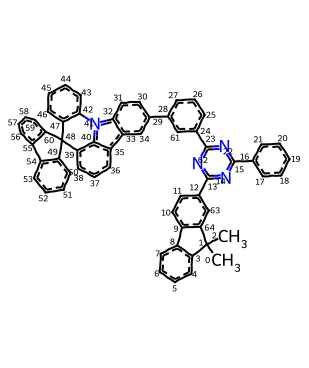 CC1(C)c2ccccc2-c2ccc(-c3nc(-c4ccccc4)nc(-c4cccc(-c5ccc6c(c5)c5cccc7c5n6-c5ccccc5C75c6ccccc6-c6ccccc65)c4)n3)cc21